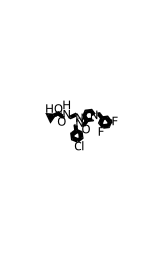 O=C(NCCn1c2c(c(=O)n1Cc1ccc(Cl)cc1)CN(Cc1cc(F)cc(F)c1)CC2)[C@@H](O)C1CC1